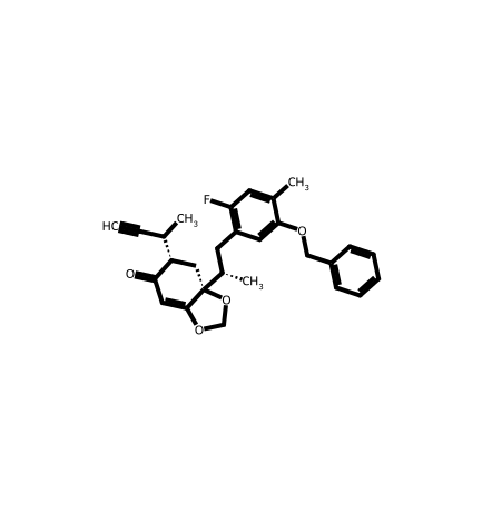 C#CC(C)[C@@H]1C[C@]2([C@@H](C)Cc3cc(OCc4ccccc4)c(C)cc3F)OCOC2=CC1=O